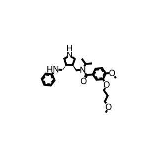 COCCCOc1cc(C(=O)N(C[C@@H]2CNC[C@H]2CNc2ccccc2)C(C)C)ccc1OC